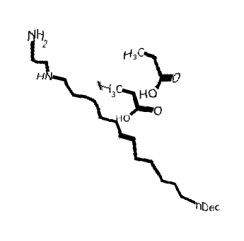 CCC(=O)O.CCC(=O)O.CCCCCCCCCCCCCCCCCCCCCCNCCN